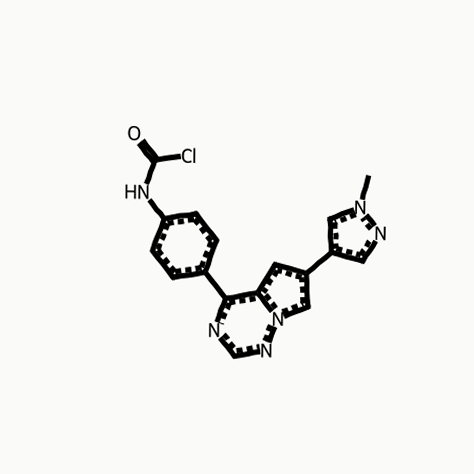 Cn1cc(-c2cc3c(-c4ccc(NC(=O)Cl)cc4)ncnn3c2)cn1